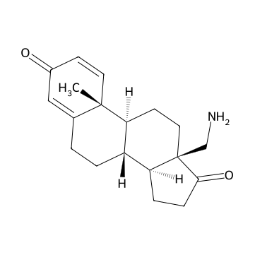 C[C@]12C=CC(=O)C=C1CC[C@H]1[C@@H]3CCC(=O)[C@@]3(CN)CC[C@@H]12